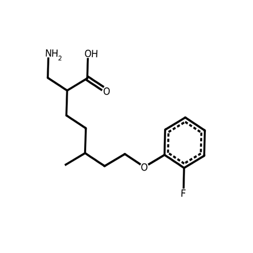 CC(CCOc1ccccc1F)CCC(CN)C(=O)O